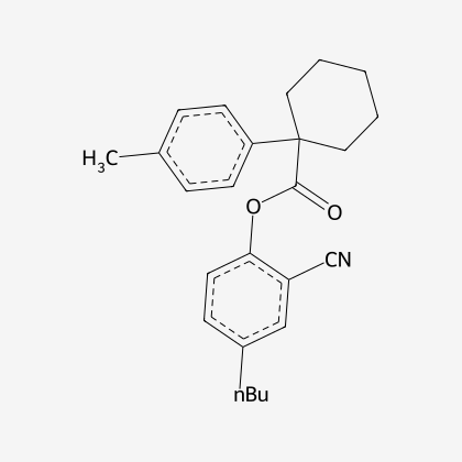 CCCCc1ccc(OC(=O)C2(c3ccc(C)cc3)CCCCC2)c(C#N)c1